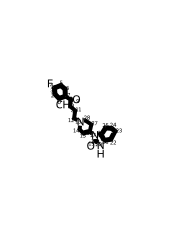 Cc1cc(F)ccc1C(=O)CCCN1CC=C(n2c(=O)[nH]c3ccccc32)CC1